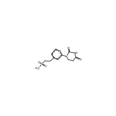 CS(=O)(=O)OCc1ccnc(N2CCC(=O)NC2=O)c1